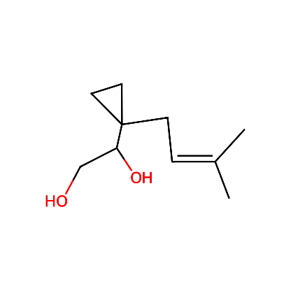 CC(C)=CCC1(C(O)CO)CC1